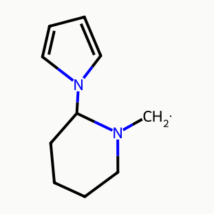 [CH2]N1CCCCC1n1cccc1